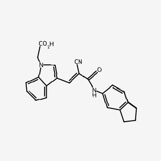 N#C/C(=C\c1cn(CC(=O)O)c2ccccc12)C(=O)Nc1ccc2c(c1)CCC2